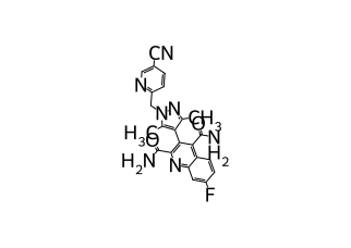 Cc1nn(Cc2ccc(C#N)cn2)c(C)c1-c1c(C(N)=O)nc2cc(F)ccc2c1C(N)=O